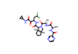 CC(C)[C@H](NC(=O)[C@H](NC(=O)c1cnccn1)C(C)C)C(=O)N1C[C@@H]2CCC[C@@H]2C1C(=O)NC(CC(F)F)C(=O)C(=O)NC1CC1